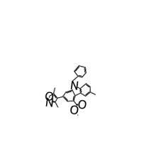 COC(=O)c1cc(-c2c(C)noc2C)cc2c1c1cc(C)ccc1n2Cc1ccccc1